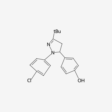 CC(C)(C)C1=NN(c2ccc(Cl)cc2)C(c2ccc(O)cc2)C1